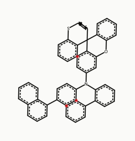 c1ccc(-c2ccccc2N(c2ccc(-c3cccc4ccccc34)cc2)c2ccc3c(c2)Oc2ccccc2C32c3ccccc3Sc3ccccc32)cc1